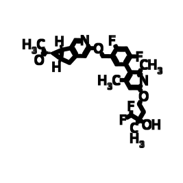 CC(=O)[C@H]1[C@@H]2Cc3cc(OCc4cc(-c5c(C)cc(OCCC(C)(O)C(F)F)nc5C)c(F)cc4F)ncc3[C@@H]21